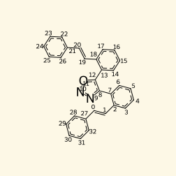 C(=Cc1ccccc1-c1nnoc1-c1ccccc1C=Cc1ccccc1)c1ccccc1